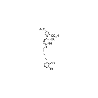 CCCc1c(CC)cccc1CCCCC(C)(C)COC(=O)N[C@H](C(=O)N1C[C@H](OC(C)=O)C[C@H]1C(=O)O)C(C)(C)C